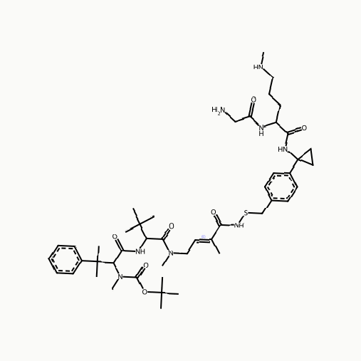 CNCCCC(NC(=O)CN)C(=O)NC1(c2ccc(CSNC(=O)/C(C)=C/CN(C)C(=O)C(NC(=O)C(N(C)C(=O)OC(C)(C)C)C(C)(C)c3ccccc3)C(C)(C)C)cc2)CC1